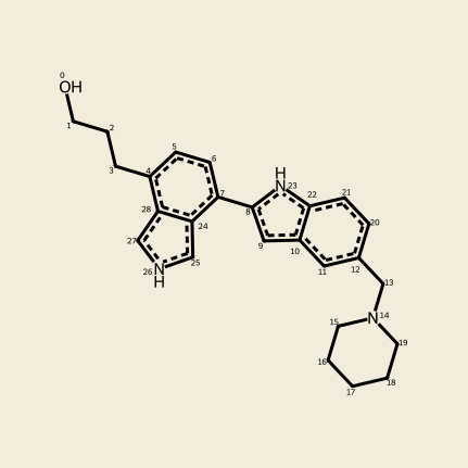 OCCCc1ccc(-c2cc3cc(CN4CCCCC4)ccc3[nH]2)c2c[nH]cc12